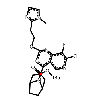 Cn1ccnc1CCOc1nc(N2CC3CCC(C2)N3C(=O)OC(C)(C)C)c2cnc(Cl)c(F)c2n1